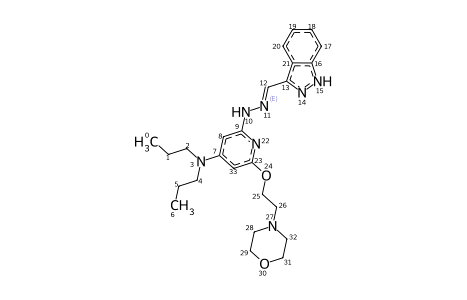 CCCN(CCC)c1cc(N/N=C/c2n[nH]c3ccccc23)nc(OCCN2CCOCC2)c1